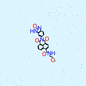 COCCNC(=O)c1ccc2c3c(cccc13)C(=O)N(c1ccc3c(c1)[nH]c(=O)n3C)C2=O